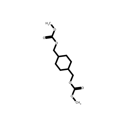 COC(=O)OCC1CCC(COC(=O)OC)CC1